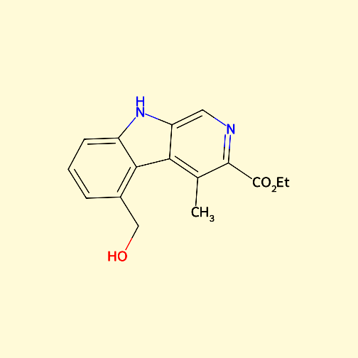 CCOC(=O)c1ncc2[nH]c3cccc(CO)c3c2c1C